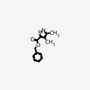 Cc1nsc(C(=O)OCc2ccccc2)c1C